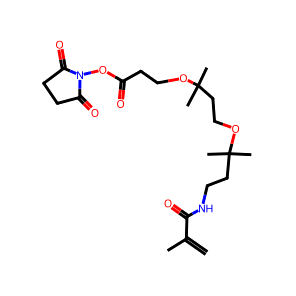 C=C(C)C(=O)NCCC(C)(C)OCCC(C)(C)OCCC(=O)ON1C(=O)CCC1=O